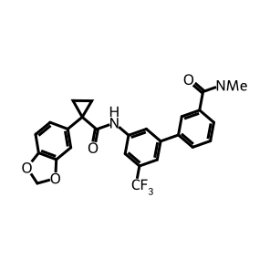 CNC(=O)c1cccc(-c2cc(NC(=O)C3(c4ccc5c(c4)OCO5)CC3)cc(C(F)(F)F)c2)c1